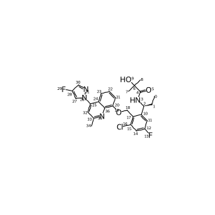 CC[C@H](NC(=O)C(C)(C)O)c1cc(F)cc(Cl)c1COc1cccc2c(-n3cc(F)cn3)cc(C)nc12